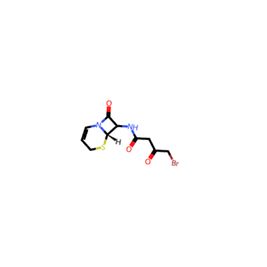 O=C(CBr)CC(=O)NC1C(=O)N2C=CCS[C@@H]12